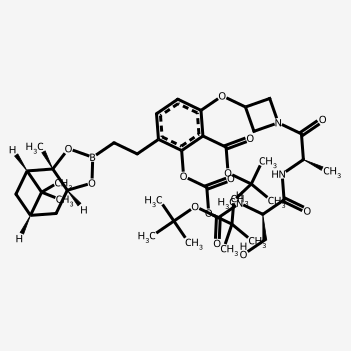 C[C@@H](NC(=O)[C@@H](CO)NC(=O)OC(C)(C)C)C(=O)N1CC(Oc2ccc(CCB3O[C@@H]4C[C@@H]5C[C@@H](C5(C)C)[C@]4(C)O3)c(OC(=O)OC(C)(C)C)c2C(=O)OC(C)(C)C)C1